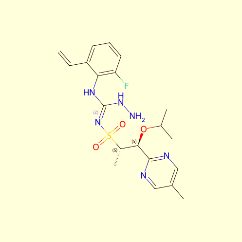 C=Cc1cccc(F)c1N/C(=N/S(=O)(=O)[C@@H](C)[C@@H](OC(C)C)c1ncc(C)cn1)NN